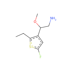 CCc1sc(F)cc1C(CN)OC